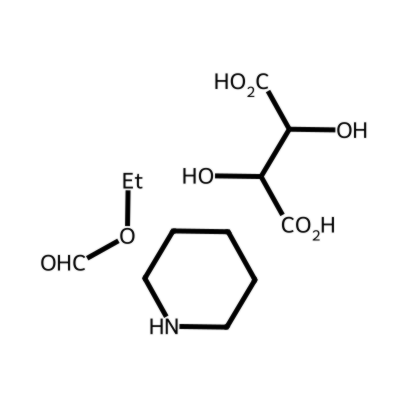 C1CCNCC1.CCOC=O.O=C(O)C(O)C(O)C(=O)O